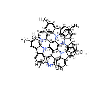 Cc1ccc2c(c1)c1ccccc1n2-c1c(-c2cc(C)nc(C)c2)c(-n2c3ccccc3c3cc(C)ccc32)c(-n2c3ccccc3c3cc(C)ccc32)c(-n2c3ccccc3c3cc(C)ccc32)c1-c1cccc(C)n1